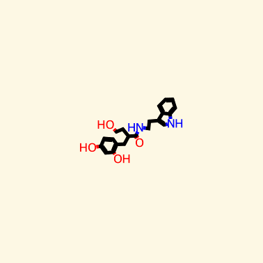 O=C(NCCc1c[nH]c2ccccc12)C(CCO)Cc1ccc(O)cc1O